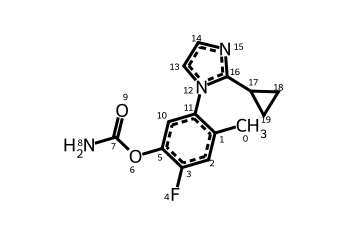 Cc1cc(F)c(OC(N)=O)cc1-n1ccnc1C1CC1